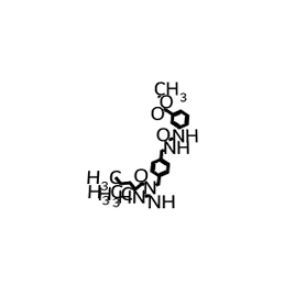 CCOC(=O)c1cccc(NC(=O)NCc2ccc(CN3C(=N)NC(C)(CC(C)C)C3=O)cc2)c1